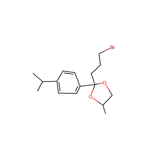 CC1COC(CCCBr)(c2ccc(C(C)C)cc2)O1